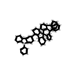 c1ccc(-n2c3ccccc3c3cc(-c4cccc5c4-c4ccccc4C54c5ccccc5C5(c6ccccc6)c6ccccc6-c6cccc4c65)ccc32)cc1